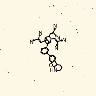 N#CC(C#N)=CC1C(C=C(C#N)C#N)C2CCC1C(C=C(C#N)C#N)C2c1cccc(-c2ccc3c(c2)OC2NCCCC32)c1